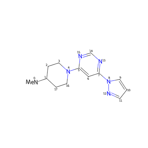 CNC1CCN(c2cc(-n3cccn3)ncn2)CC1